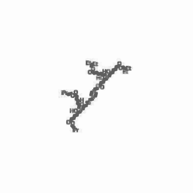 CCC(CC)COC(=O)CCCCC(O)CN(CCCCC(=O)OCCN1CCN(CCSSCCCN(CC(O)CCCCC(=O)OCCC(C)C)CC(O)CCCCC(=O)OCCC(C)C)CC1)CC(O)CCCCC(=O)OCC(CC)CC